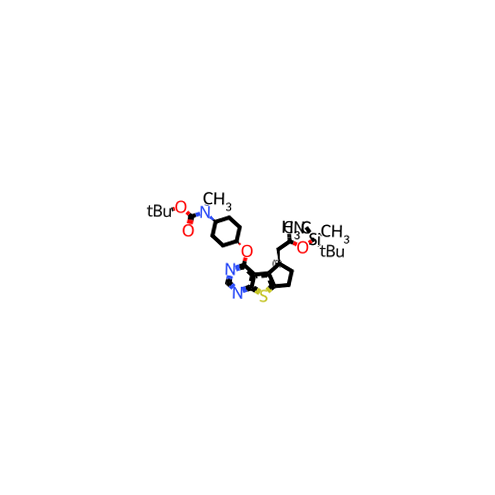 CN(C(=O)OC(C)(C)C)[C@H]1CC[C@H](Oc2ncnc3sc4c(c23)[C@@H](CC(C#N)O[Si](C)(C)C(C)(C)C)CC4)CC1